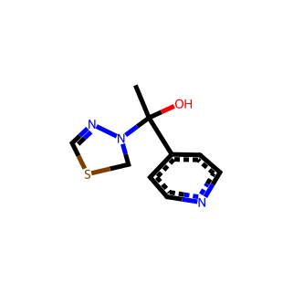 CC(O)(c1ccncc1)N1CSC=N1